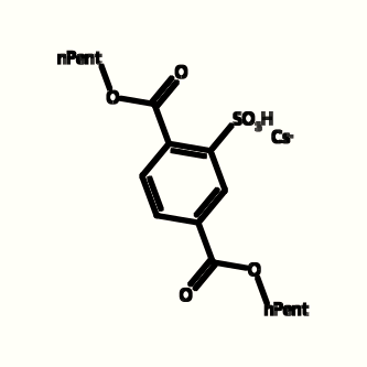 CCCCCOC(=O)c1ccc(C(=O)OCCCCC)c(S(=O)(=O)O)c1.[Cs]